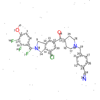 COc1ccc(C(F)N2Cc3cc(C(=O)C4CCN(Cc5ccc(C#N)cc5)CC4)cc(Cl)c3C2)c(F)c1F